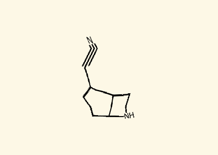 N#CC1CCC2NCC12